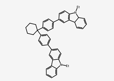 CCN1c2ccc(-c3ccc(C4(c5ccc(-c6ccc7c(c6)c6ccccc6n7CC)cc5)CCCCC4)cc3)cc2C2C=CC=CC21